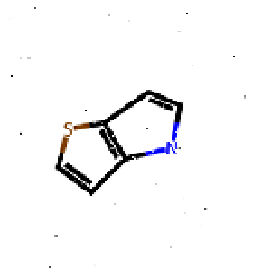 C1=Cc2sccc2[N]1